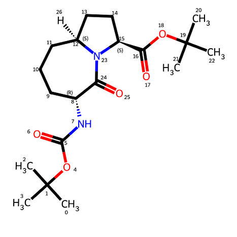 CC(C)(C)OC(=O)N[C@@H]1CCC[C@H]2CC[C@@H](C(=O)OC(C)(C)C)N2C1=O